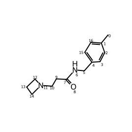 Cc1ccc(CNC(=O)CCN2CCC2)cc1